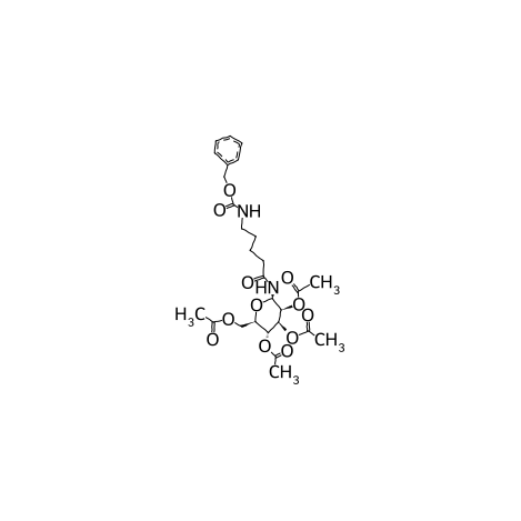 CC(=O)OC[C@H]1O[C@@H](NC(=O)CCCCNC(=O)OCc2ccccc2)[C@@H](OC(C)=O)[C@@H](OC(C)=O)[C@@H]1OC(C)=O